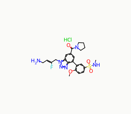 CNS(=O)(=O)c1ccc(OC)c(-c2cc(C(=O)N3CCCC3)cc3c2nnn3C/C(F)=C/CN)c1.Cl